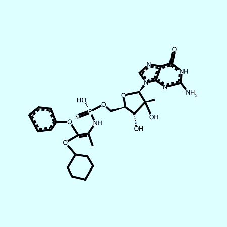 CC(N[P@@](O)(=S)OC[C@H]1O[C@@H](n2cnc3c(=O)[nH]c(N)nc32)[C@](C)(O)[C@@H]1O)=C(Oc1ccccc1)OC1CCCCC1